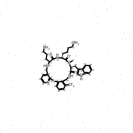 CN1C(=O)[C@H](CCCCN)NC(=O)C(CCCN)NCc2cccnc2Sc2cccc(C(F)(F)F)c2CNC(=O)[C@@H]1Cc1c[nH]c2ccccc12